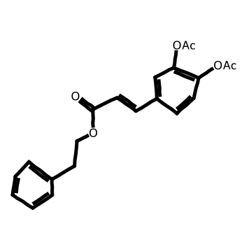 CC(=O)Oc1ccc(C=CC(=O)OCCc2ccccc2)cc1OC(C)=O